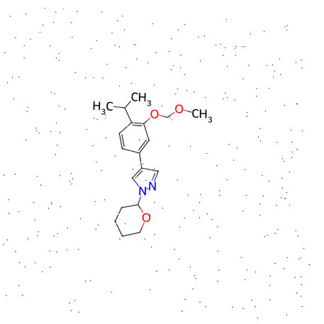 COCOc1cc(-c2cnn(C3CCCCO3)c2)ccc1C(C)C